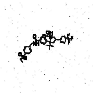 CCS(=O)(=O)c1ccc(CNC(=O)c2ccc(C3(C(C)(C)C)CC(c4ccc(C(F)(F)F)cc4)CN3C(=O)O)cc2)cc1